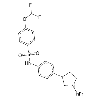 CCCN1CCC(c2ccc(NS(=O)(=O)c3ccc(OC(F)F)cc3)cc2)C1